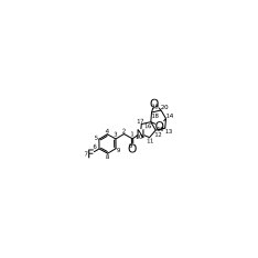 O=C(Cc1ccc(F)cc1)N1CC2CC3OC2(C1)C1OC31